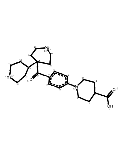 O=C(O)C1CCN(c2ccc(C(=O)C3(C4CCNCC4)CCNCC3)cc2)CC1